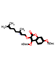 CCCCCCCCCCOc1ccc2c(OCCCCCCCCCC)c(OC/C=C(\C)CCC=C(C)C)c(=O)oc2c1